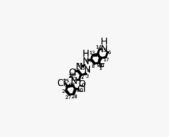 O=C1c2cnc(Nc3cc(F)c4c(c3)CNCC4)nc2OCN1c1c(Cl)cccc1Cl